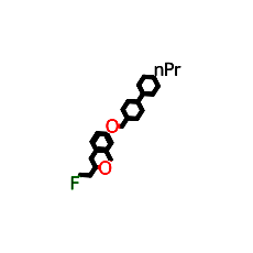 CCCC1CCC(C2CCC(COc3ccc4c(c3)COC(CCF)C4)CC2)CC1